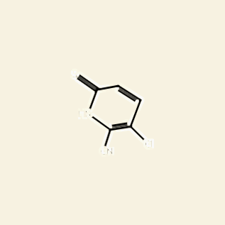 N#Cc1[nH]c(=S)ccc1Cl